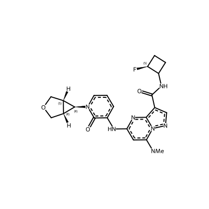 CNc1cc(Nc2cccn([C@H]3[C@@H]4COC[C@@H]43)c2=O)nc2c(C(=O)NC3CC[C@@H]3F)cnn12